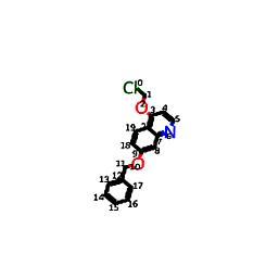 ClCOc1ccnc2cc(OCc3ccccc3)ccc12